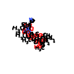 CCC(C(=O)[C@@H](C)[C@@H](O)[C@H](C)[C@@H]1O[C@@H]([C@@H](CC)C(=O)O)CC[C@@H]1C)[C@H]1O[C@]2(C=C[C@@H](NC(=O)NCCc3cccnc3)[C@]3(CC[C@@](C)([C@H]4CC[C@](O)(CC)[C@H](C)O4)O3)O2)[C@H](C)C[C@@H]1C